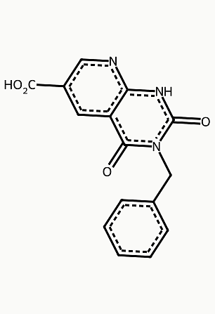 O=C(O)c1cnc2[nH]c(=O)n(Cc3ccccc3)c(=O)c2c1